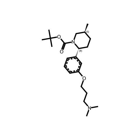 C[C@H]1CC[C@H](c2cccc(OCCCN(C)C)c2)N(C(=O)OC(C)(C)C)C1